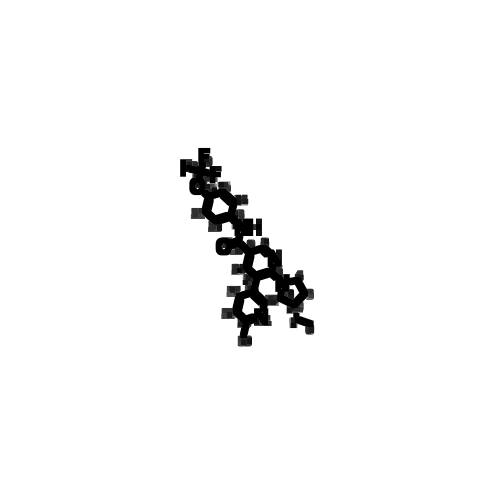 CC[C@H]1CCN(c2ncc(C(=O)Nc3ccc(OC(F)(F)F)cc3)cc2-c2ccc(C)nc2)C1